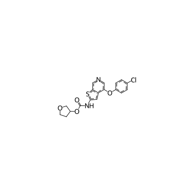 O=C(Nc1cc2c(Oc3ccc(Cl)cc3)cncc2s1)OC1CCOC1